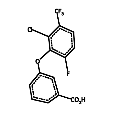 O=C(O)c1cccc(Oc2c(F)ccc(C(F)(F)F)c2Cl)c1